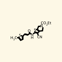 CCOC(=O)N1CCc2c(sc(NC(=O)C=Cc3ccc(C)s3)c2C#N)C1